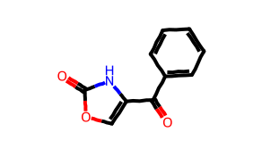 O=C(c1ccccc1)c1coc(=O)[nH]1